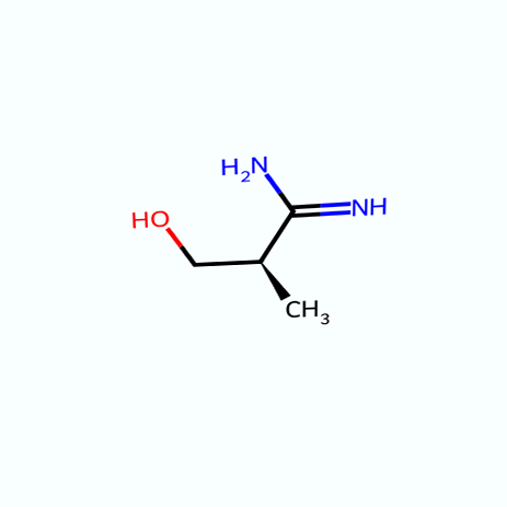 C[C@@H](CO)C(=N)N